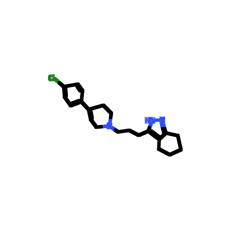 Clc1ccc(C2=CCN(CCCc3[nH]nc4c3CCCC4)CC2)cc1